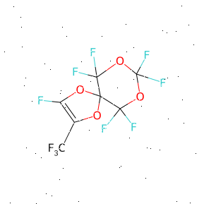 FC1=C(C(F)(F)F)OC2(O1)C(F)(F)OC(F)(F)OC2(F)F